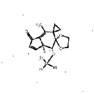 CC[Si](CC)(CC)O[C@@H]1[C@@H]2C=CC(=O)C2=C(C)C2(CC2)C12OCCO2